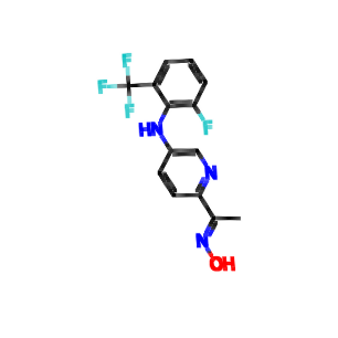 C/C(=N\O)c1ccc(Nc2c(F)cccc2C(F)(F)F)cn1